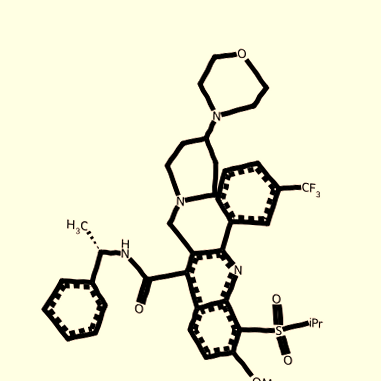 COc1ccc2c(C(=O)N[C@@H](C)c3ccccc3)c(CN3CCC(N4CCOCC4)CC3)c(-c3cccc(C(F)(F)F)c3)nc2c1S(=O)(=O)C(C)C